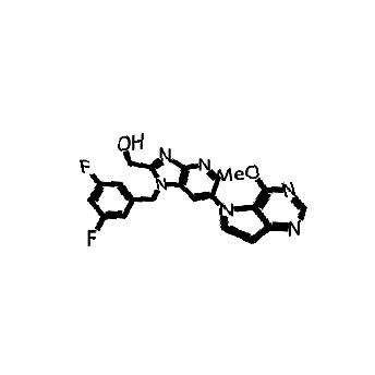 COc1ncnc2ccn(-c3cnc4nc(CO)n(Cc5cc(F)cc(F)c5)c4c3)c12